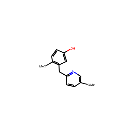 COc1ccc(Cc2cc(O)ccc2OC)nc1